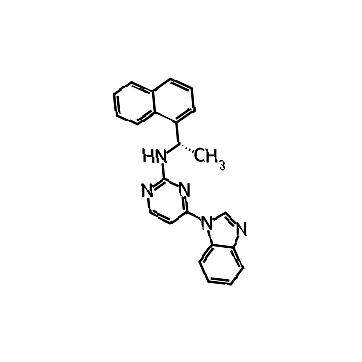 C[C@H](Nc1nccc(-n2cnc3ccccc32)n1)c1cccc2ccccc12